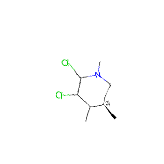 CC1C(Cl)C(Cl)N(C)C[C@H]1C